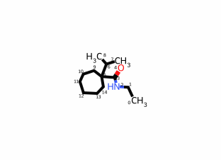 CCNC(=O)C1(C(C)C)CCCCCC1